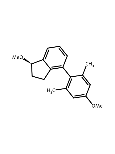 COc1cc(C)c(-c2cccc3c2CC[C@H]3OC)c(C)c1